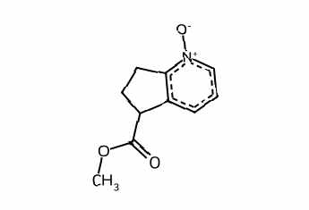 COC(=O)C1CCc2c1ccc[n+]2[O-]